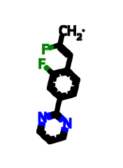 [CH2]/C(F)=C/c1ccc(-c2ncccn2)cc1F